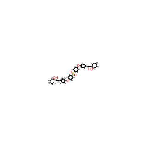 O=S(=O)(c1ccc(Oc2ccc(C#CC3(O)CCCCC3)cc2)cc1)c1ccc(Oc2ccc(C#CC3(O)CCCCC3)cc2)cc1